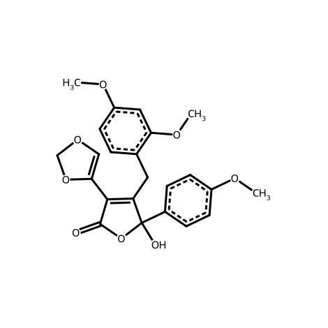 COc1ccc(C2(O)OC(=O)C(C3=COCO3)=C2Cc2ccc(OC)cc2OC)cc1